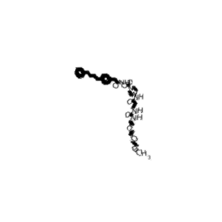 COCCOCCOCCNC(=O)NCCC(=O)NN1CCN(C(=O)ONC(=O)Cc2ccc(CCCCc3ccccc3)cc2)CC1